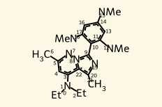 CCN(CC)c1cc(C)nn2c(-c3c(NC)cc(NC)cc3NC)nc(C)c12